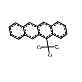 ClC(Cl)(Cl)c1c2ccccc2cc2cc3ccccc3cc12